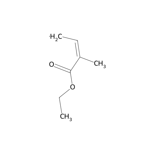 [CH2]C=C(C)C(=O)OCC